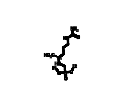 CCOP(=O)(CN[C@@H](CCCNC(N)=O)C(=O)O)OCC